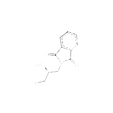 O=C1c2ccccc2C(=O)N1C[C@H](O)CBr